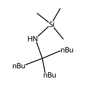 CCCCC(CCCC)(CCCC)N[Si](C)(C)C